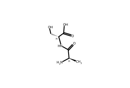 C[C@@H](N)C(=O)N[C@H](CO)C(=O)O